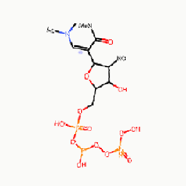 CNC(=O)/C(=C\N(C)C(C)=O)C1OC(COP(=O)(O)OP(O)OO[PH](=O)OO)C(O)C1N=O